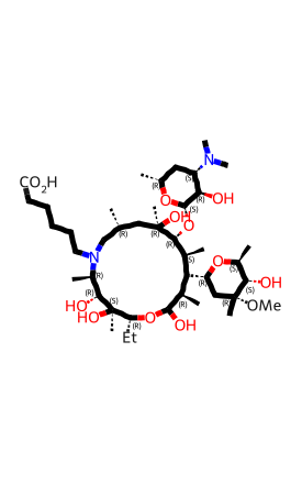 CC[C@H]1OC(O)[C@H](C)C([C@H]2C[C@@](C)(OC)[C@@H](O)[C@H](C)O2)[C@H](C)[C@@H](O[C@@H]2O[C@H](C)C[C@H](N(C)C)[C@H]2O)[C@](C)(O)C[C@@H](C)CN(CCCCCC(=O)O)[C@H](C)[C@@H](O)[C@]1(C)O